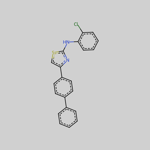 Clc1ccccc1Nc1nc(-c2ccc(-c3ccccc3)cc2)cs1